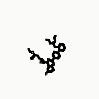 CCCN(CCC)Cc1ccccc1-c1ccc(-c2nc(NCCCC(=O)OCC)c3cc(F)ccc3n2)cc1